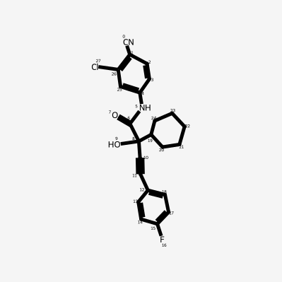 N#Cc1ccc(NC(=O)C(O)(C#Cc2ccc(F)cc2)C2CCCCC2)cc1Cl